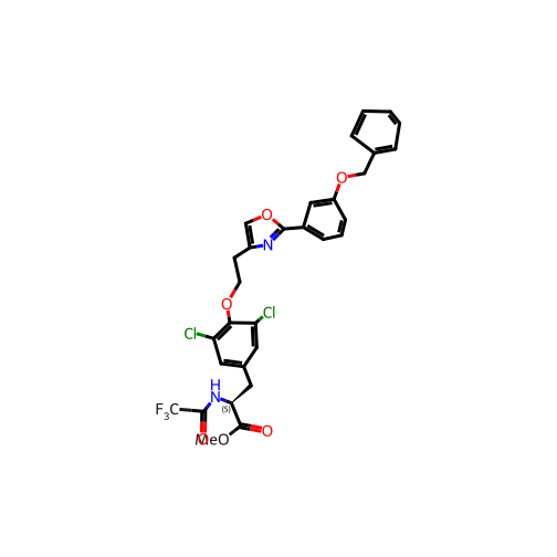 COC(=O)[C@H](Cc1cc(Cl)c(OCCc2coc(-c3cccc(OCc4ccccc4)c3)n2)c(Cl)c1)NC(=O)C(F)(F)F